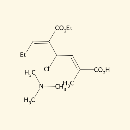 CCC=C(C(=O)OCC)C(Cl)C=C(C)C(=O)O.CN(C)C